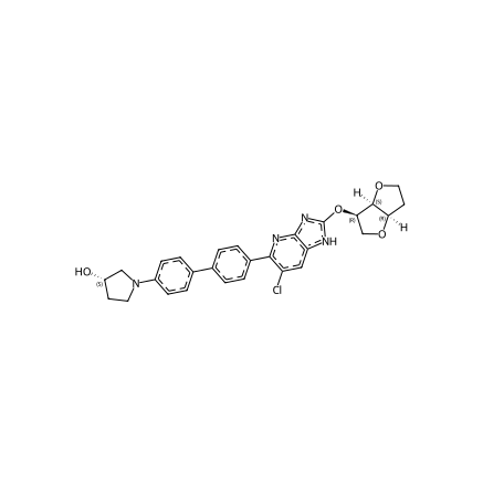 O[C@H]1CCN(c2ccc(-c3ccc(-c4nc5nc(O[C@@H]6CO[C@@H]7CCO[C@@H]76)[nH]c5cc4Cl)cc3)cc2)C1